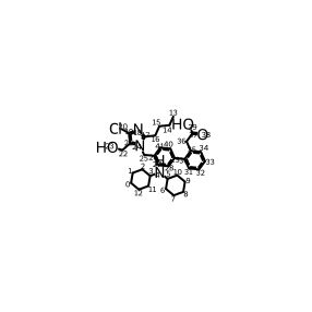 C1CCC(NC2CCCCC2)CC1.CCCCc1nc(Cl)c(CO)n1Cc1ccc(-c2ccccc2CC(=O)O)cc1